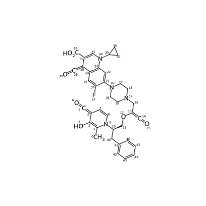 CC1=C(O)C(=C=O)C=CN1[C@@H](COC(=C=O)CN1CCN(c2cc3c(cc2F)C(=C=O)C(C(=O)O)=CN3C2CC2)CC1)Cc1ccccc1